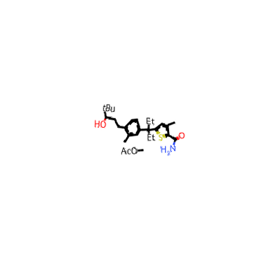 CCC(CC)(c1ccc(CCC(O)C(C)(C)C)c(C)c1)c1cc(C)c(C(N)=O)s1.COC(C)=O